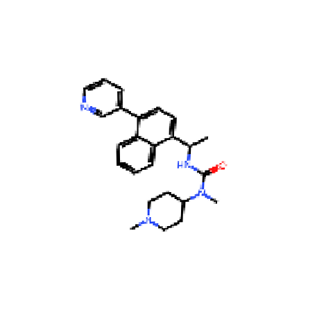 CC(NC(=O)N(C)C1CCN(C)CC1)c1ccc(-c2cccnc2)c2ccccc12